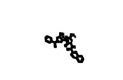 CC(C)C[C@H](NC(=O)c1ccc2ccccc2n1)C(=O)NC1CN(C(=O)c2ccccc2)CC1O